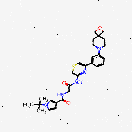 CC(C)(C)n1ccc(C(=O)NCC(=O)NC2=NC(c3cccc(N4CCC5(CC4)COC5)c3)=CSC2)c1